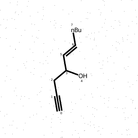 C#CCC(O)/C=C/CCCC